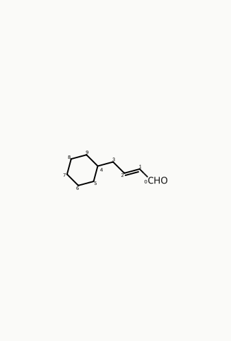 O=C/C=C/CC1CCCCC1